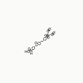 COc1cc(/C=C/c2ccc(S(=O)(=O)N(CCO[Si](C)(C)C(C)(C)C)CCO[Si](C)(C)C(C)(C)C)cc2)ccc1/C=C/c1ccc(NC(=O)O)cc1